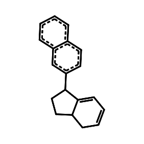 C1=CCC2CCC(c3ccc4ccccc4c3)C2=C1